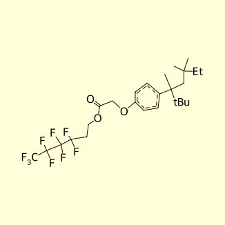 CCC(C)(C)CC(C)(c1ccc(OCC(=O)OCCC(F)(F)C(F)(F)C(F)(F)C(F)(F)F)cc1)C(C)(C)C